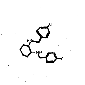 Clc1ccc(CN[C@@H]2CCCC[C@H]2NCc2ccc(Cl)cc2)cc1